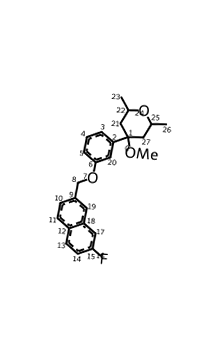 COC1(c2cccc(OCc3ccc4ccc(F)cc4c3)c2)CC(C)OC(C)C1